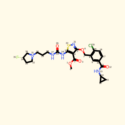 COC(=O)c1c(OCc2cc(C(=O)NC3CC3)ccc2Cl)nsc1NC(=O)NCCCN1CC[C@H](F)C1